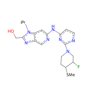 CSC1CCN(c2nccc(Nc3cc4c(cn3)nc(CO)n4C(C)C)n2)CC1F